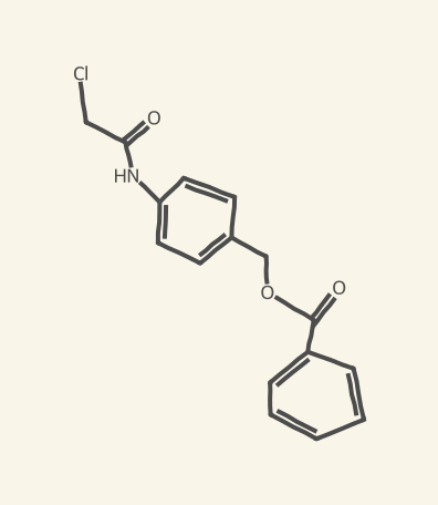 O=C(CCl)Nc1ccc(COC(=O)c2ccccc2)cc1